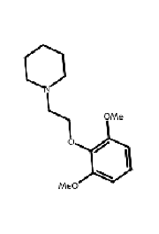 COc1c[c]cc(OC)c1OCCN1CCCCC1